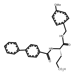 COc1ccc(CNC(=O)[C@H](CCC(=O)O)NC(=O)c2ccc(-c3ccccc3)cc2)cc1